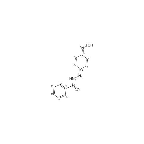 O=C(NN=C1C=CC(=NO)C=C1)c1ccccc1